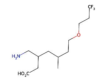 CC(CCOCCC(F)(F)F)CC(CN)CC(=O)O